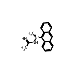 C=[N+](NC(=N)N)c1c2ccccc2cc2ccccc12